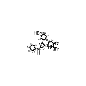 Br.CC(C)n1nc(-c2sc(Nc3ccccc3)nc2-c2ccccc2)ccc1=O